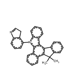 CC1(C)c2ccccc2-c2c1c1ccccc1c1c2c2ccccc2n1-c1cccc2c1CC=N2